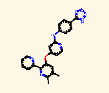 Cc1cc(Oc2ccnc(Nc3ccc(-c4nnn[nH]4)cc3)c2)c(-c2ccccn2)nc1C